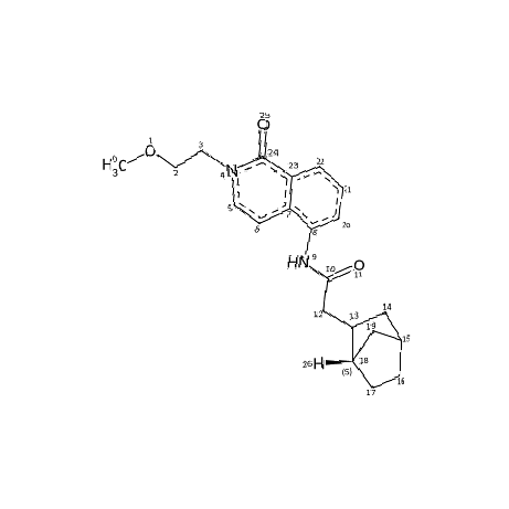 COCCn1ccc2c(NC(=O)CC3CC4CC[C@H]3C4)cccc2c1=O